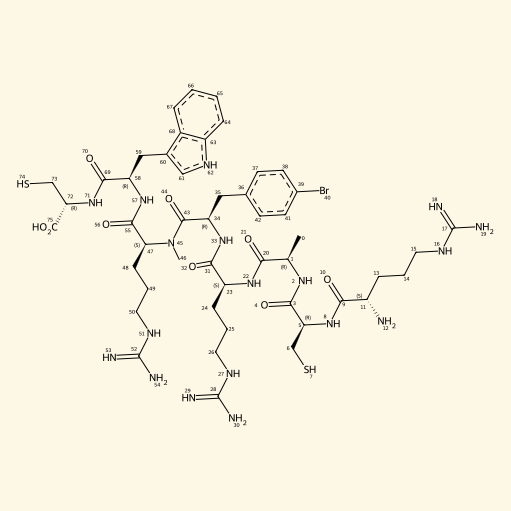 C[C@@H](NC(=O)[C@H](CS)NC(=O)[C@@H](N)CCCNC(=N)N)C(=O)N[C@@H](CCCNC(=N)N)C(=O)N[C@H](Cc1ccc(Br)cc1)C(=O)N(C)[C@@H](CCCNC(=N)N)C(=O)N[C@H](Cc1c[nH]c2ccccc12)C(=O)N[C@@H](CS)C(=O)O